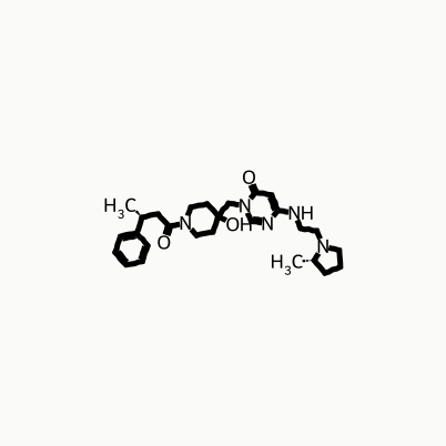 C[C@H](CC(=O)N1CCC(O)(Cn2cnc(NCCN3CCC[C@@H]3C)cc2=O)CC1)c1ccccc1